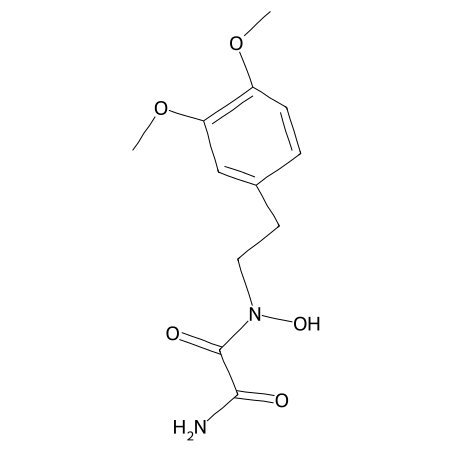 COc1ccc(CCN(O)C(=O)C(N)=O)cc1OC